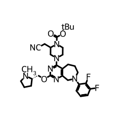 CN1CCC[C@H]1COc1nc2c(c(N3CCN(C(=O)OC(C)(C)C)C(CC#N)C3)n1)CCCN(c1cccc(F)c1F)C2